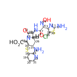 Nc1nc(C(=NO)C(=O)N[C@@H]2C(=O)N3C(C(=O)O)=C(Sc4cccnc4N)CC[C@H]23)c(Cl)s1